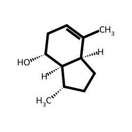 CC1=CC[C@@H](O)[C@H]2[C@@H]1CC[C@@H]2C